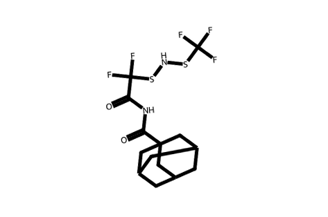 O=C(NC(=O)C(F)(F)SNSC(F)(F)F)C12CC3CC(CC(C3)C1)C2